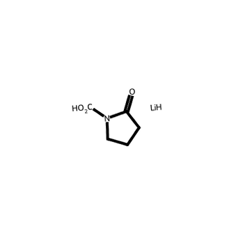 O=C(O)N1CCCC1=O.[LiH]